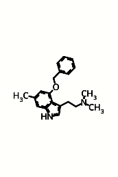 Cc1cc(OCc2ccccc2)c2c(CCN(C)C)c[nH]c2c1